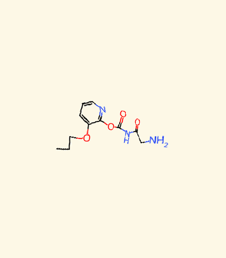 CCCOc1cccnc1OC(=O)NC(=O)CN